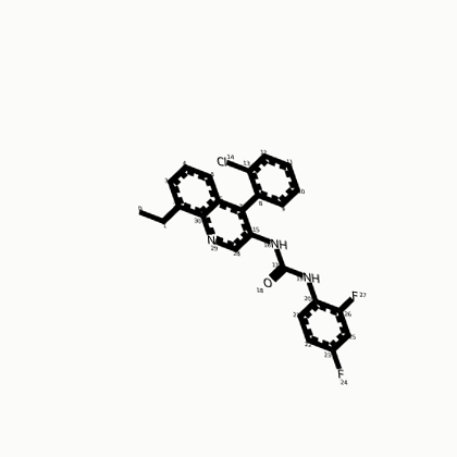 CCc1cccc2c(-c3ccccc3Cl)c(NC(=O)Nc3ccc(F)cc3F)cnc12